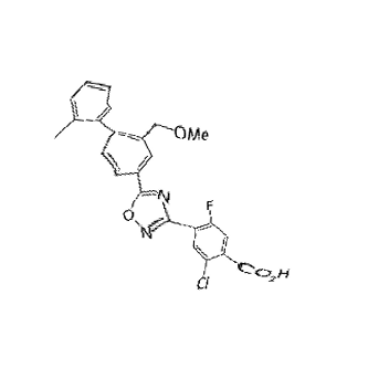 COCc1cc(-c2nc(-c3cc(Cl)c(C(=O)O)cc3F)no2)ccc1-c1ccccc1C